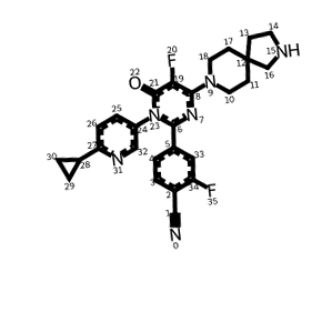 N#Cc1ccc(-c2nc(N3CCC4(CCNC4)CC3)c(F)c(=O)n2-c2ccc(C3CC3)nc2)cc1F